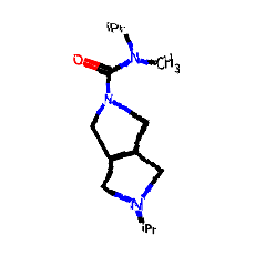 CC(C)N1CC2CN(C(=O)N(C)C(C)C)CC2C1